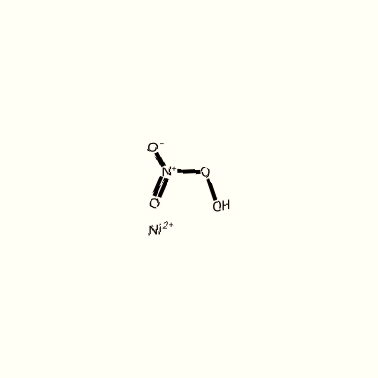 O=[N+]([O-])OO.[Ni+2]